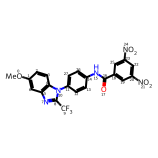 COc1ccc2c(c1)nc(C(F)(F)F)n2-c1ccc(NC(=O)c2cc([N+](=O)[O-])cc([N+](=O)[O-])c2)cc1